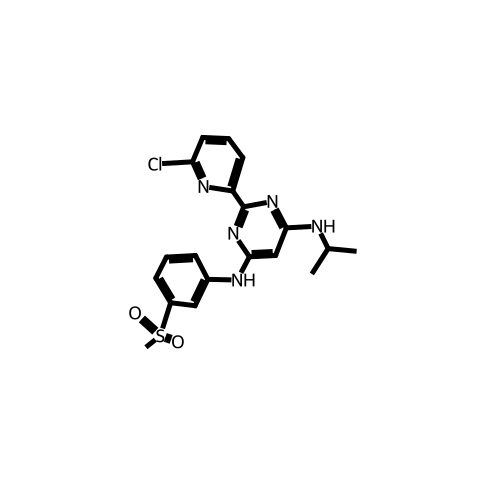 CC(C)Nc1cc(Nc2cccc(S(C)(=O)=O)c2)nc(-c2cccc(Cl)n2)n1